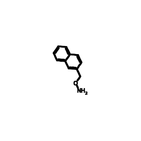 NOCc1ccc2ccccc2c1